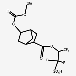 CC(C)(C)OC(=O)OC1CC2CC1CC2C(=O)OC(C(F)(F)F)C(F)(F)S(=O)(=O)O